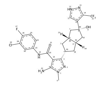 Cn1nc([C@@H]2C[C@@H]3C[C@@](O)(c4c[nH]nc4C(F)(F)F)C[C@@H]3C2)c(C(=O)Nc2ccc(F)c(Cl)c2)c1N